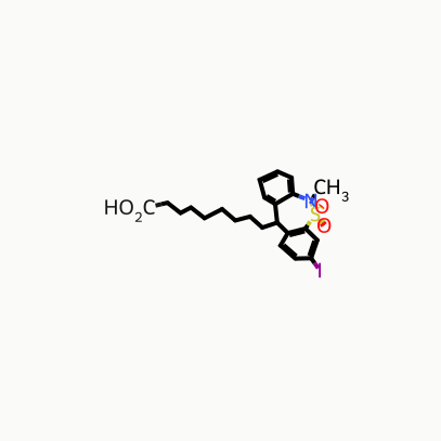 CN1c2ccccc2C(CCCCCCCCC(=O)O)c2ccc(I)cc2S1(=O)=O